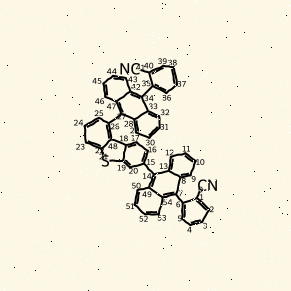 N#Cc1ccccc1-c1c2ccccc2c(-c2ccc3c(c2)sc2cccc(-c4c5ccccc5c(-c5ccccc5C#N)c5ccccc45)c23)c2ccccc12